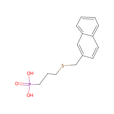 O=P(O)(O)CCCSCc1ccc2ccccc2c1